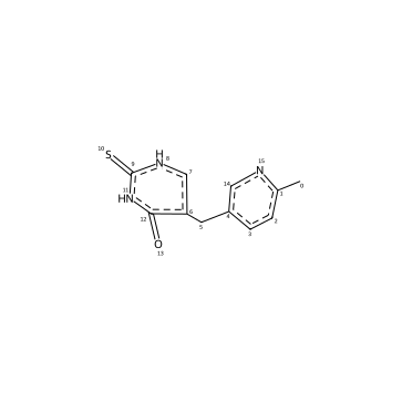 Cc1ccc(Cc2c[nH]c(=S)[nH]c2=O)cn1